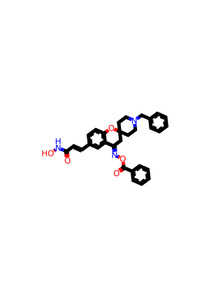 O=C(/C=C/c1ccc2c(c1)C(=NOC(=O)c1ccccc1)CC1(CCN(Cc3ccccc3)CC1)O2)NO